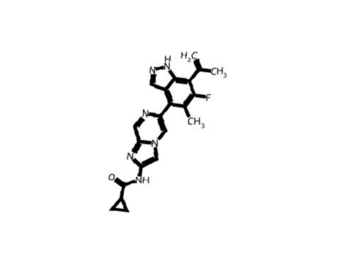 C=C(C)c1c(F)c(C)c(-c2cn3cc(NC(=O)C4CC4)nc3cn2)c2cn[nH]c12